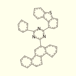 c1ccc(-c2nc(-c3cc4c5ccccc5ccc4c4ccccc34)nc(-c3cccc4sc5ccccc5c34)n2)cc1